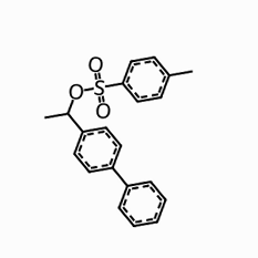 Cc1ccc(S(=O)(=O)OC(C)c2ccc(-c3ccccc3)cc2)cc1